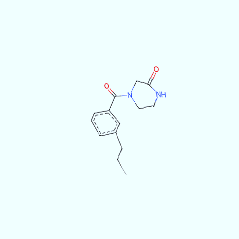 CCCc1cccc(C(=O)N2CCNC(=O)C2)c1